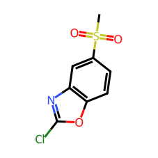 CS(=O)(=O)c1ccc2oc(Cl)nc2c1